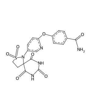 NC(=O)c1ccc(Oc2ccc(N3C4(CCS3(=O)=O)C(=O)NC(=O)NC4=O)cn2)cc1